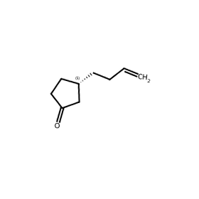 C=CCC[C@H]1CCC(=O)C1